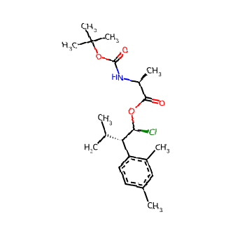 Cc1ccc([C@H](C(C)C)[C@H](Cl)OC(=O)[C@H](C)NC(=O)OC(C)(C)C)c(C)c1